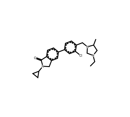 CCN1CC(C)N(Cc2ccc(-c3ccc4c(c3)CN(C3CC3)C4=O)cc2Cl)C1